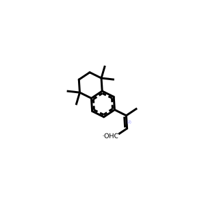 C/C(=C/[C]=O)c1ccc2c(c1)C(C)(C)CCC2(C)C